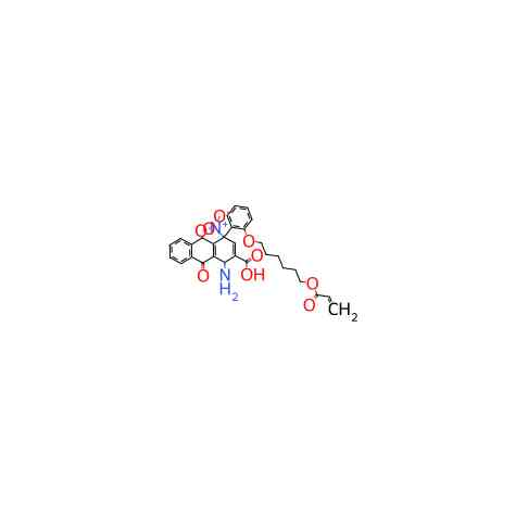 C=CC(=O)OCCCCCCOc1ccccc1C1([N+](=O)[O-])C=C(C(=O)O)C(N)C2=C1C(=O)c1ccccc1C2=O